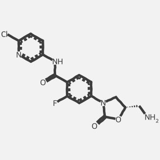 NC[C@H]1CN(c2ccc(C(=O)Nc3ccc(Cl)nc3)c(F)c2)C(=O)O1